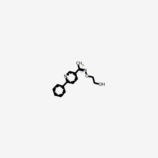 C/C(=N/OCCO)c1ccc(-c2ccccc2)nc1